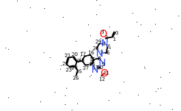 C=CC(=O)N1CCN(c2nc(OC)nc3c2CCC(c2ccccc2CC)C3)CC1